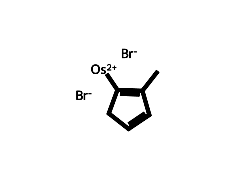 CC1=[C]([Os+2])CC=C1.[Br-].[Br-]